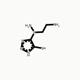 NCCN(N)c1nn[nH]c1S